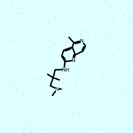 Cc1nccc2nc(NCC(C)(C)CN(C)C)ccc12